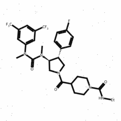 CCNC(=O)N1CCC(C(=O)N2C[C@@H](N(C)C(=O)N(C)c3cc(C(F)(F)F)cc(C(F)(F)F)c3)[C@H](c3ccc(F)cc3)C2)CC1